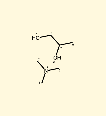 CC(O)CO.CN(C)C